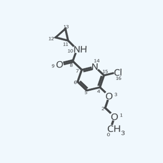 COCOc1ccc(C(=O)NC2CC2)nc1Cl